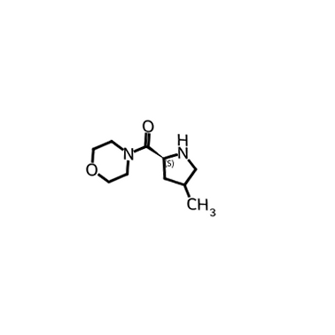 CC1CN[C@H](C(=O)N2CCOCC2)C1